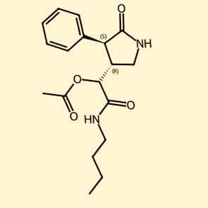 CCCCNC(=O)C(OC(C)=O)[C@H]1CNC(=O)[C@@H]1c1ccccc1